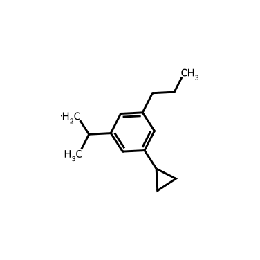 [CH2]C(C)c1cc(CCC)cc(C2CC2)c1